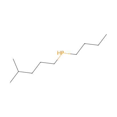 CCCCPCCCC(C)C